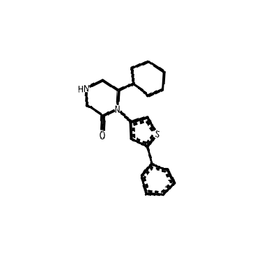 O=C1CNCC(C2CCCCC2)N1c1csc(-c2ccccc2)c1